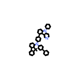 CC1(C)c2ccccc2-c2cccc(N(c3ccc(-c4ccccc4)cc3)c3ccc(-c4cccc5c4c4cnccc4n5-c4ccccc4)cc3)c21